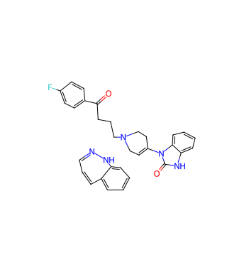 C1=Cc2ccccc2NN=C1.O=C(CCCN1CC=C(n2c(=O)[nH]c3ccccc32)CC1)c1ccc(F)cc1